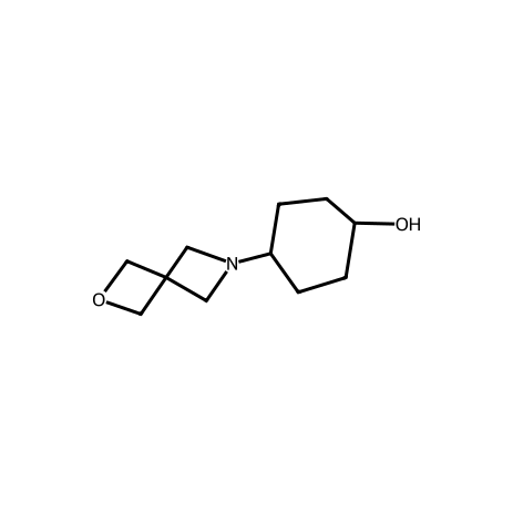 OC1CCC(N2CC3(COC3)C2)CC1